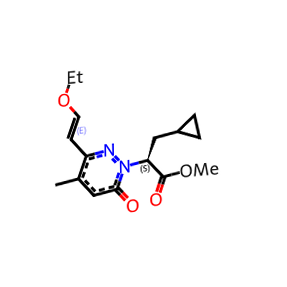 CCO/C=C/c1nn([C@@H](CC2CC2)C(=O)OC)c(=O)cc1C